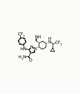 N=C[C@H]1C[C@H](N[C@H](C2CC2)C(F)(F)F)CC[C@@H]1n1cc(C(N)=O)c(Nc2ccc(C(F)(F)F)cc2)n1